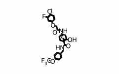 O=C(COc1ccc(Cl)c(F)c1)NC12CCC(C(=O)NCc3ccc(OC(F)(F)F)cc3)(CC1)C(O)C2